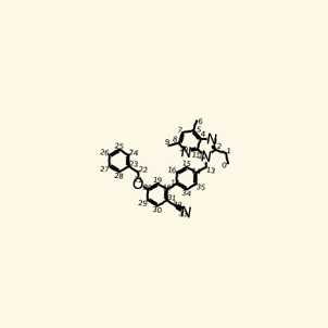 CCc1nc2c(C)cc(C)nc2n1Cc1ccc(-c2cc(OCc3ccccc3)ccc2C#N)cc1